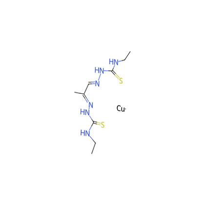 CCNC(=S)NN=CC(C)=NNC(=S)NCC.[Cu]